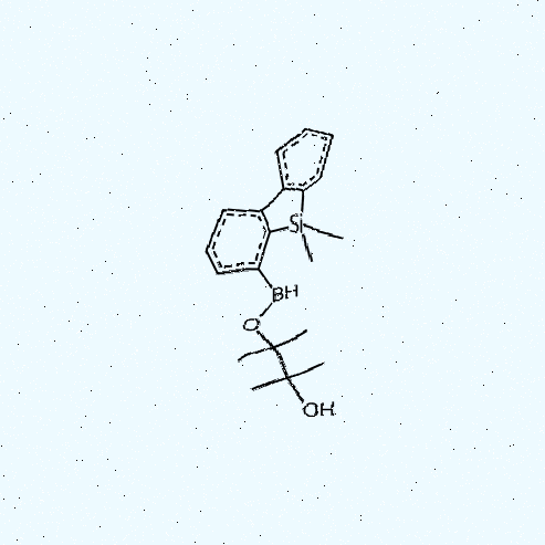 CC(C)(O)C(C)(C)OBc1cccc2c1[Si](C)(C)c1ccccc1-2